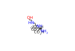 CC(=O)O.CC(=O)O.CC(=O)O.CC(=O)O.NCCNCCNCCO